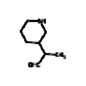 CC(C=O)C1CCCNC1